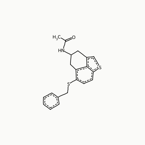 CC(=O)NC1Cc2csc3ccc(SCc4ccccc4)c(c23)C1